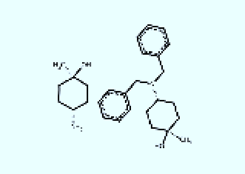 C[C@]1(O)CC[C@H](N(Cc2ccccc2)Cc2ccccc2)CC1.C[C@]1(O)CC[C@H](N)CC1